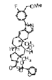 COCc1cc(-n2ncc3c2C=C2CC[C@@H]4C([C@@H](O)C[C@@]5(C)C4CC[C@]5(OC(=O)c4ccco4)C(=O)S)[C@@]2(C)C3)ccc1F